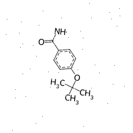 CC(C)(C)Oc1ccc(C([NH])=O)cc1